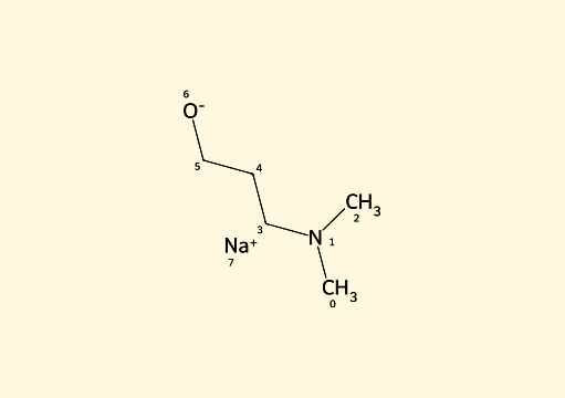 CN(C)CCC[O-].[Na+]